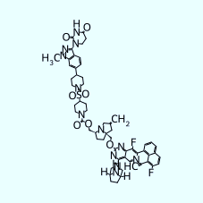 C#Cc1c(F)ccc2cccc(-c3ncc4c(N5C[C@H]6CC[C@@H](C5)N6)nc(OC[C@@]56CC[C@@H](COC(=O)N7CCC(S(=O)(=O)N8CCC(c9ccc%10c(N%11CCC(=O)NC%11=O)nn(C)c%10c9)CC8)CC7)N5CC(=C)C6)nc4c3F)c12